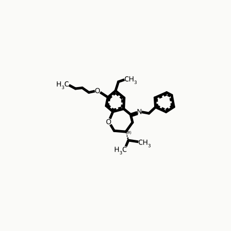 CCCCOc1cc2c(cc1CC)C(=NCc1ccccc1)C[C@H](C(C)C)CO2